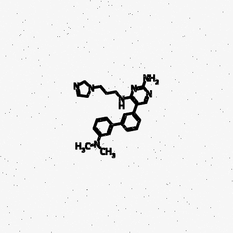 CN(C)c1cccc(-c2cccc(-c3cnc(N)nc3NCCCN3CC=NC3)c2)c1